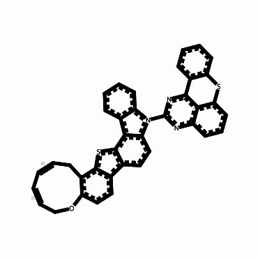 C1=C\COc2ccc3c(sc4c3ccc3c4c4ccccc4n3-c3nc4c5c(cccc5n3)Sc3ccccc3-4)c2C\C=C/1